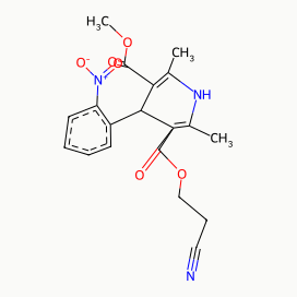 COC(=O)C1=C(C)NC(C)=C(C(=O)OCCC#N)C1c1ccccc1[N+](=O)[O-]